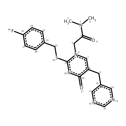 CN(C)C(=O)Cn1cc(Cc2cncnc2)c(=O)nc1SCc1ccc(F)cc1